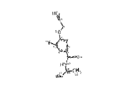 C#CCOc1ccc(C(=O)N[C@@H](C)C(C)(C)C)cc1F